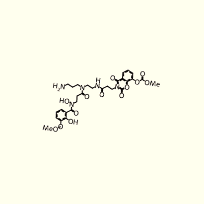 COOc1cccc(C(=O)N(O)CCC(=O)N(CCCN)CCNC(=O)CCn2c(=O)oc3c(OC(=O)OC)cccc3c2=O)c1O